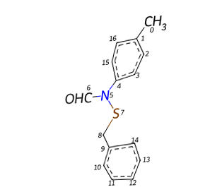 Cc1ccc(N(C=O)SCc2ccccc2)cc1